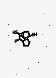 FC1C2CCC3C(S)CC1(S)C1CCC32C1